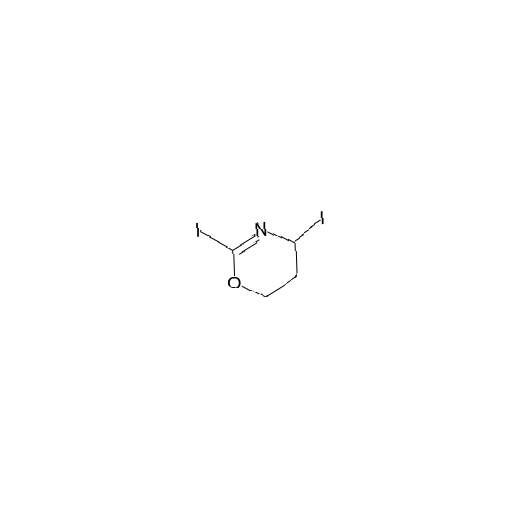 IC1=NC(I)CCO1